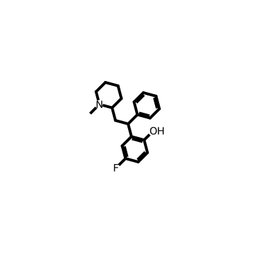 CN1CCCCC1CC(c1ccccc1)c1cc(F)ccc1O